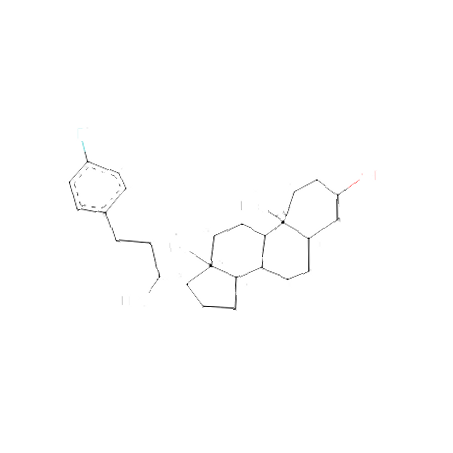 CC(CCc1ccc(F)cc1)[C@H]1CCC2C3CCC4CC(O)CCC4(C)C3CCC21C